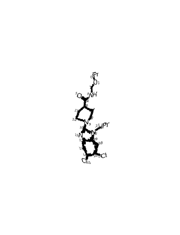 CC(C)OCNC(=O)C1CCN(c2nc3cc(Cl)c(Cl)cc3n2C(C)C)CC1